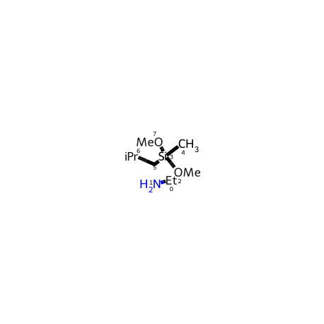 CCN.CO[Si](C)(CC(C)C)OC